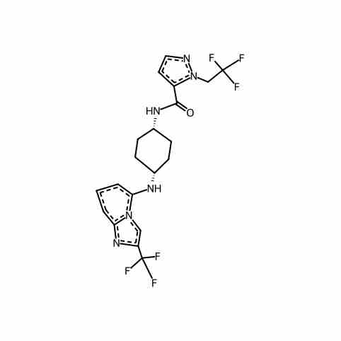 O=C(N[C@H]1CC[C@@H](Nc2cccc3nc(C(F)(F)F)cn23)CC1)c1ccnn1CC(F)(F)F